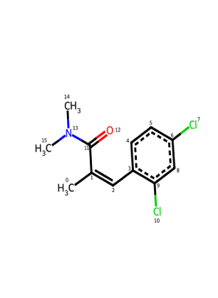 CC(=Cc1ccc(Cl)cc1Cl)C(=O)N(C)C